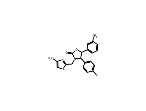 Cc1coc(CN2C(=O)OC(c3cccc(C(F)(F)F)c3)C2c2ccc(F)cc2)n1